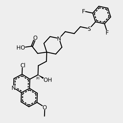 COc1ccc2ncc(Cl)c([C@H](O)CCC3(CC(=O)O)CCN(CCCSc4c(F)cccc4F)CC3)c2c1